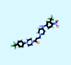 O=C(CCN1CCC(Nc2ccc([N+](=O)[O-])c(C(F)(F)F)c2)CC1)N1CCN(c2ccc(C(F)(F)F)cc2)CC1